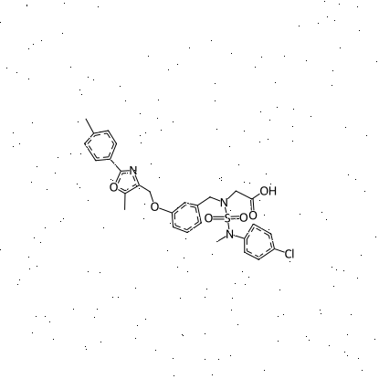 Cc1ccc(-c2nc(COc3cccc(CN(CC(=O)O)S(=O)(=O)N(C)c4ccc(Cl)cc4)c3)c(C)o2)cc1